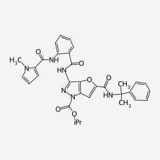 CC(C)OC(=O)n1nc(NC(=O)c2ccccc2NC(=O)c2cccn2C)c2oc(C(=O)NC(C)(C)c3ccccc3)cc21